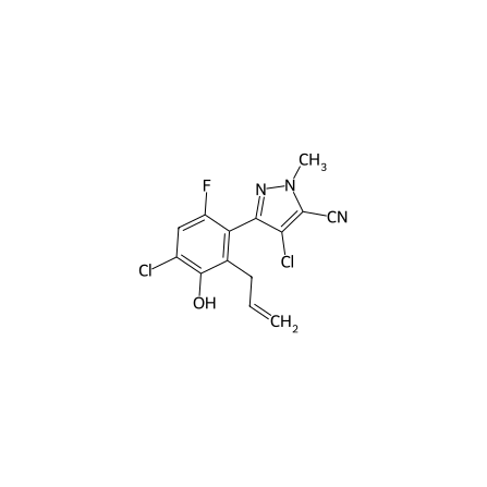 C=CCc1c(O)c(Cl)cc(F)c1-c1nn(C)c(C#N)c1Cl